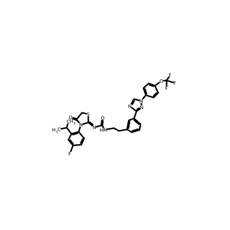 CC(C)c1cc(F)ccc1N1C(=O)CSC1=NC(=O)NCCc1cccc(-c2ncn(-c3ccc(OC(F)(F)F)cc3)n2)c1